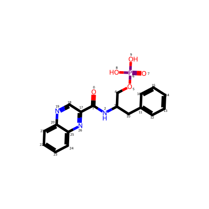 O=C(NC(COP(=O)(O)O)Cc1ccccc1)c1cnc2ccccc2n1